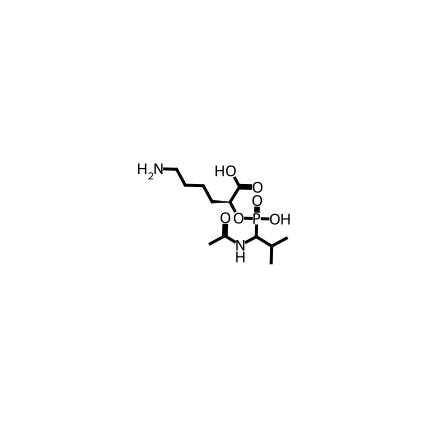 CC(=O)NC(C(C)C)P(=O)(O)O[C@@H](CCCCN)C(=O)O